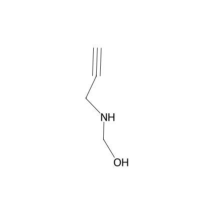 C#CCNCO